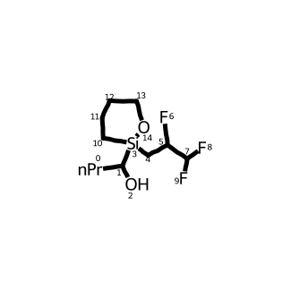 CCCC(O)[Si]1(CC(F)C(F)F)CCCCO1